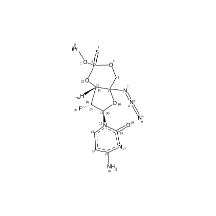 CC(C)OP1(=S)OCC2(N=[N+]=[N-])O[C@@H](n3ccc(N)nc3=O)[C@H](F)[C@@H]2O1